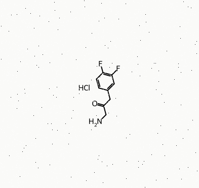 Cl.NCC(=O)Cc1ccc(F)c(F)c1